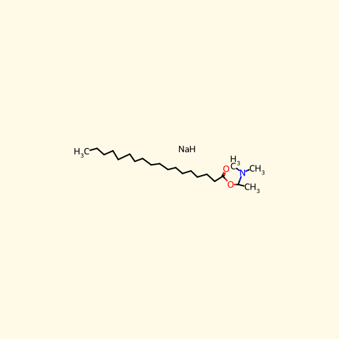 CCCCCCCCCCCCCCCCCC(=O)OC(C)N(C)C.[NaH]